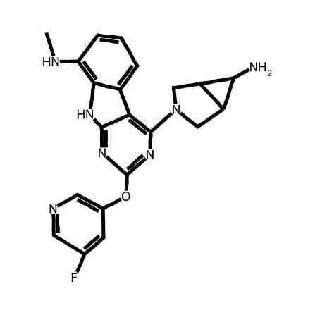 CNc1cccc2c1[nH]c1nc(Oc3cncc(F)c3)nc(N3CC4C(N)C4C3)c12